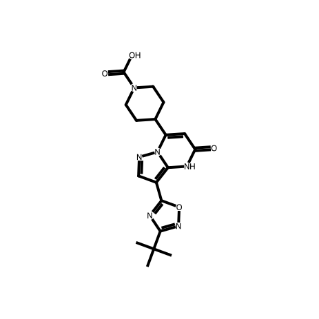 CC(C)(C)c1noc(-c2cnn3c(C4CCN(C(=O)O)CC4)cc(=O)[nH]c23)n1